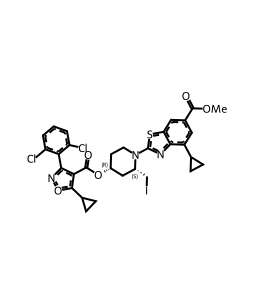 COC(=O)c1cc(C2CC2)c2nc(N3CC[C@@H](OC(=O)c4c(-c5c(Cl)cccc5Cl)noc4C4CC4)C[C@H]3CI)sc2c1